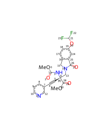 COC(=O)N[C@](C#Cc1cccnc1)(CN1Cc2ccc(OC(F)F)cc2C1=O)C(=O)OC